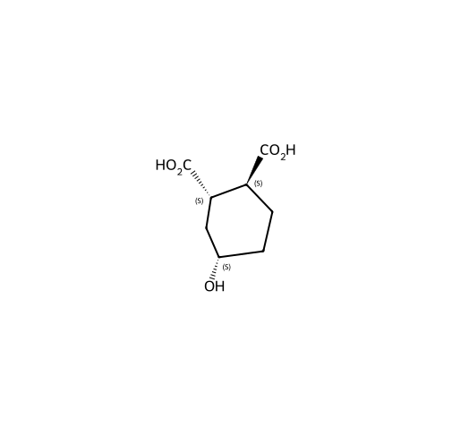 O=C(O)[C@H]1CC[C@H](O)C[C@@H]1C(=O)O